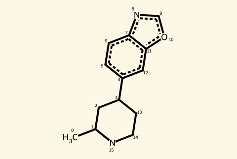 CC1CC(c2ccc3ncoc3c2)CC[N]1